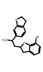 CC(C)c1cccc2c1OC(CC(C)c1ccc3c(c1)OCC3)C2